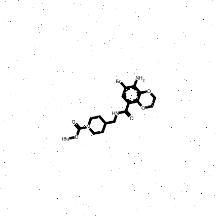 CC(C)(C)OC(=O)N1CCC(CNC(=O)c2cc(Br)c(N)c3c2OCCO3)CC1